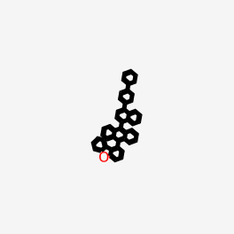 C1=CCCC(C2=CC=C(c3ccc(-c4c5ccccc5c(-c5cccc6oc7ccccc7c56)c5ccccc45)c4ccccc34)CC2)=C1